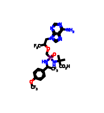 CC(C)(NP(=O)(COC(Cn1cnc2c(N)ncnc21)C(F)(F)F)NC(c1ccc(OC(F)(F)F)cc1)C(F)(F)F)C(=O)O